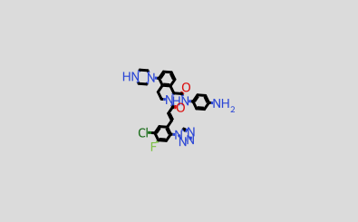 Nc1ccc(NC(=O)C2c3cccc(N4CCNCC4)c3CCN2C(=O)/C=C/c2cc(Cl)c(F)cc2-n2cnnn2)cc1